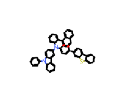 c1ccc(-n2c3ccccc3c3cc(N(c4ccc(-c5ccc6c(c5)sc5ccccc56)cc4)c4ccccc4-c4cccc5ccccc45)ccc32)cc1